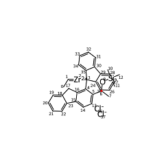 C[CH]=[Zr+2][C]1(c2c(C(C)O[Si](C)(C)C)ccc3c2Cc2ccccc2-3)c2ccccc2-c2ccccc21.[Cl-].[Cl-]